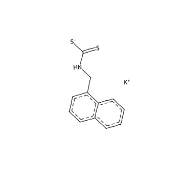 S=C([S-])NCc1cccc2ccccc12.[K+]